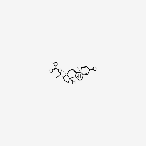 COC(=O)OC(C)[C@H]1CC[C@H]2[C@@H]3CCC4=CC(=O)C=C[C@]4(C)C3=CC[C@]12C